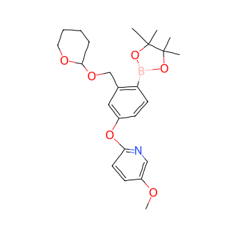 COc1ccc(Oc2ccc(B3OC(C)(C)C(C)(C)O3)c(COC3CCCCO3)c2)nc1